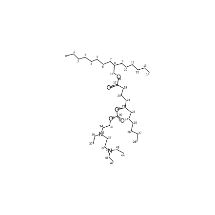 CCCCCCCCC(CCCCCC)COC(=O)CCCC(CCCCCC)OC(=O)OCCN(CC)CCN(CC)CC